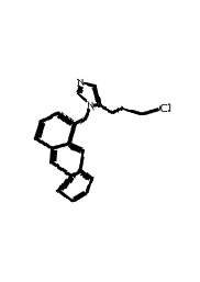 ClCCCc1cncn1Cc1cccc2cc3ccccc3cc12